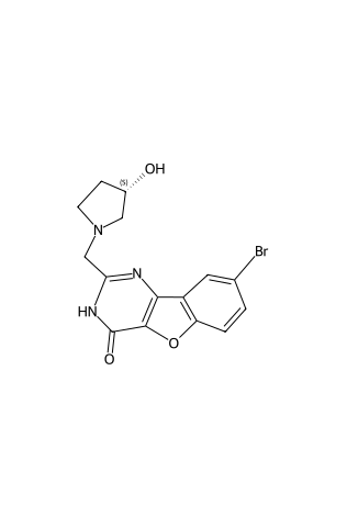 O=c1[nH]c(CN2CC[C@H](O)C2)nc2c1oc1ccc(Br)cc12